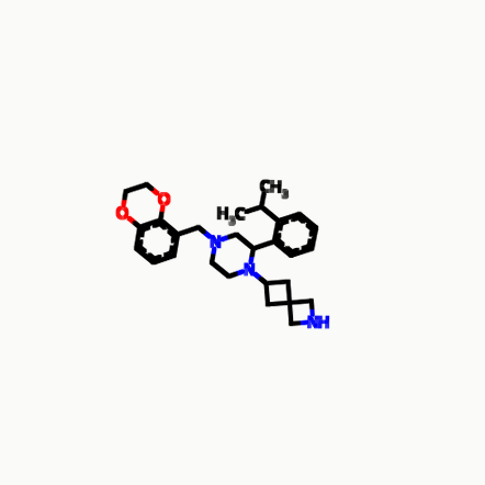 CC(C)c1ccccc1C1CN(Cc2cccc3c2OCCO3)CCN1C1CC2(CNC2)C1